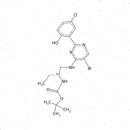 CC[C@H](CNc1nc(-c2cc(Cl)ccc2O)ncc1Br)NC(=O)OC(C)(C)C